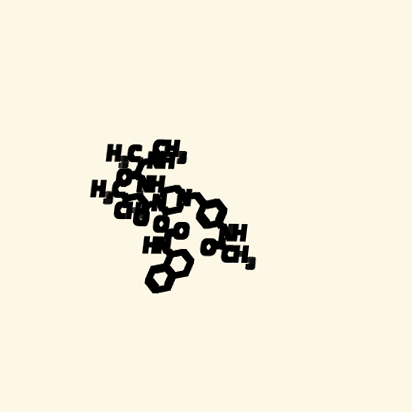 CN[C@@H](C)C(=O)N[C@H](C(=O)N1CCN(Cc2ccc(NC(C)=O)cc2)C[C@@H]1OC(=O)NC1CCCc2ccccc21)C(C)C